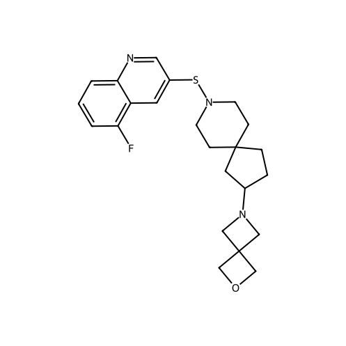 Fc1cccc2ncc(SN3CCC4(CCC(N5CC6(COC6)C5)C4)CC3)cc12